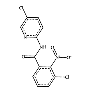 O=C(Nc1ccc(Cl)cn1)c1cccc(Cl)c1[N+](=O)[O-]